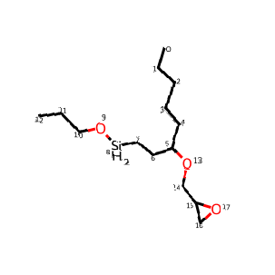 CCCCCC(CC[SiH2]OCCC)OCC1CO1